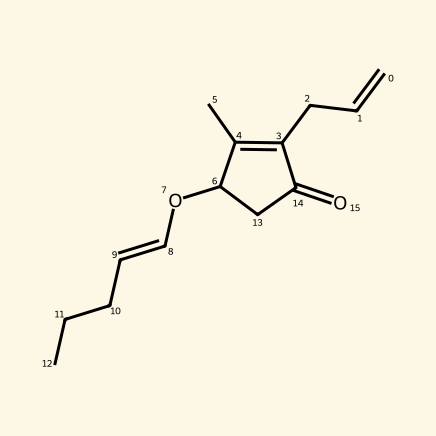 C=CCC1=C(C)C(OC=CCCC)CC1=O